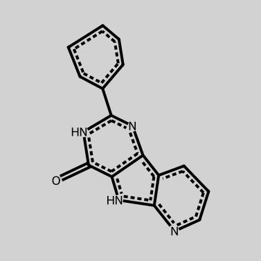 O=c1[nH]c(-c2ccccc2)nc2c1[nH]c1ncccc12